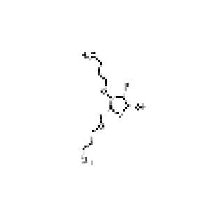 CCCCOC[C@H]1SC(O)[C@@H](F)[C@@H]1OCCCC